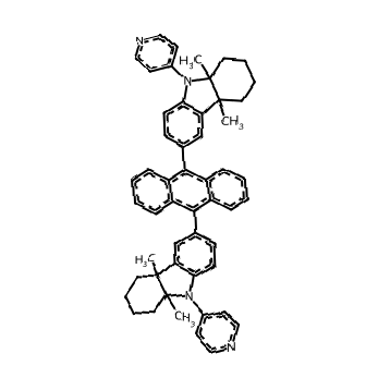 CC12CCCCC1(C)N(c1ccncc1)c1ccc(-c3c4ccccc4c(-c4ccc5c(c4)C4(C)CCCCC4(C)N5c4ccncc4)c4ccccc34)cc12